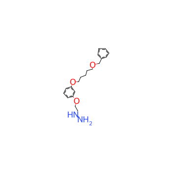 NNCCOc1cccc(OCCCCCOCc2ccccc2)c1